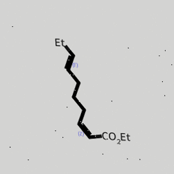 CC/C=C/CCC/C=C\C(=O)OCC